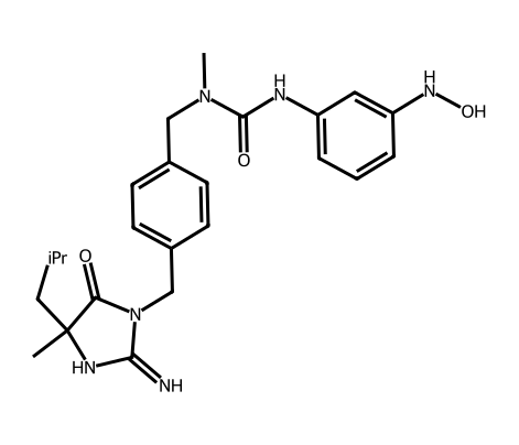 CC(C)CC1(C)NC(=N)N(Cc2ccc(CN(C)C(=O)Nc3cccc(NO)c3)cc2)C1=O